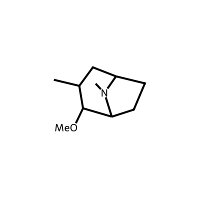 COC1C(C)CC2CCC1N2C